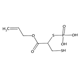 C=CCOC(=O)C(CS)SP(=O)(O)O